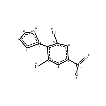 O=[N+]([O-])c1cc(Cl)c(-n2cccn2)c(Cl)c1